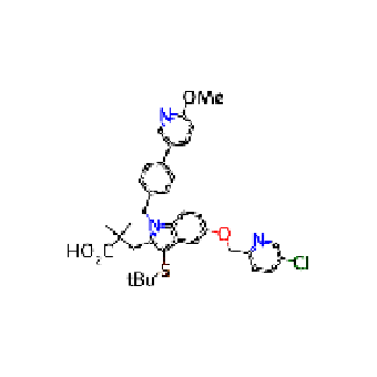 COc1ccc(-c2ccc(Cn3c(CC(C)(C)C(=O)O)c(SC(C)(C)C)c4cc(OCc5ccc(Cl)cn5)ccc43)cc2)cn1